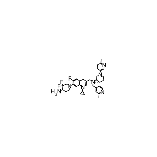 Cc1ccc(N2CCC[C@H](N(CC3=CN(C4CC4)c4cc(N5CCC(N)C(F)(F)C5)c(F)cc4C3)Cc3ccnc(C)c3)C2)cn1